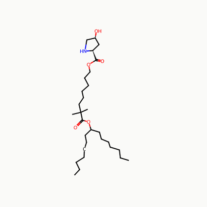 CCCCCCCC(CCCCCCC)OC(=O)C(C)(C)CCCCCCOC(=O)[C@@H]1C[C@H](O)CN1